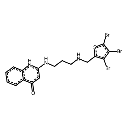 O=c1cc(NCCCNCc2sc(Br)c(Br)c2Br)[nH]c2ccccc12